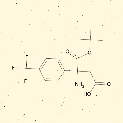 CC(C)(C)OC(=O)C(N)(CC(=O)O)c1ccc(C(F)(F)F)cc1